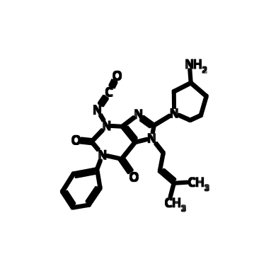 CC(C)=CCn1c(N2CCCC(N)C2)nc2c1c(=O)n(-c1ccccc1)c(=O)n2N=C=O